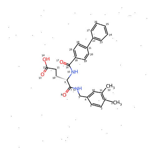 Cc1ccc(CNC(=O)[C@H](CCC(=O)O)NC(=O)c2ccc(-c3ccccc3)cc2)cc1C